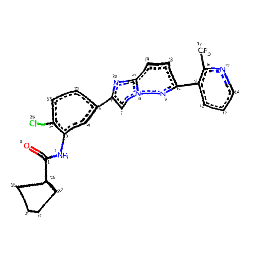 O=C(Nc1cc(-c2cn3nc(-c4cccnc4C(F)(F)F)ccc3n2)ccc1Cl)C1CCCC1